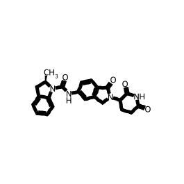 C[C@@H]1Cc2ccccc2N1C(=O)Nc1ccc2c(c1)CN(C1CCC(=O)NC1=O)C2=O